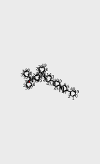 c1ccc(-c2ccc(-c3ccc(-c4ccc(-n5c6ccccc6c6cc(N(c7ccccc7)c7ccccc7)ccc65)cc4)cc3)nc2)cc1